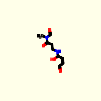 CN(C=O)C(=O)CCNC(O)/C=C\C=O